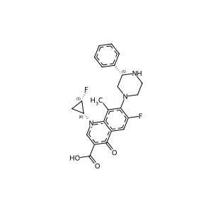 Cc1c(N2CCN[C@@H](c3ccccc3)C2)c(F)cc2c(=O)c(C(=O)O)cn([C@@H]3C[C@@H]3F)c12